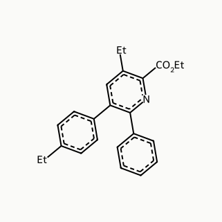 CCOC(=O)c1nc(-c2ccccc2)c(-c2ccc(CC)cc2)cc1CC